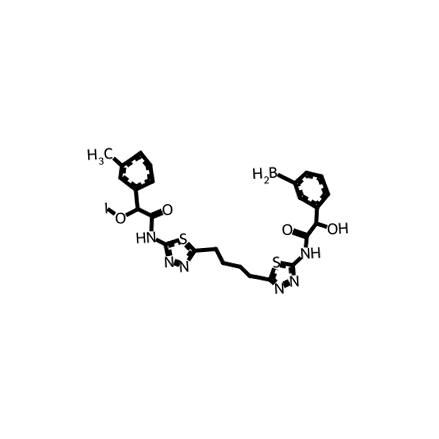 Bc1cccc(C(O)C(=O)Nc2nnc(CCCCc3nnc(NC(=O)C(OI)c4cccc(C)c4)s3)s2)c1